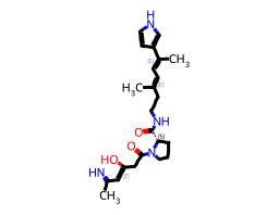 CC(=N)/C=C(\O)CC(=O)N1CCC[C@H]1C(=O)NCC/C(C)=C/C=C(\C)c1cc[nH]c1